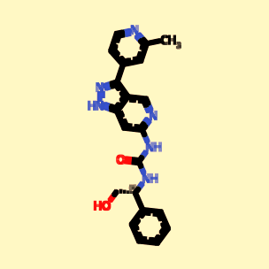 Cc1cc(-c2n[nH]c3cc(NC(=O)N[C@@H](CO)c4ccccc4)ncc23)ccn1